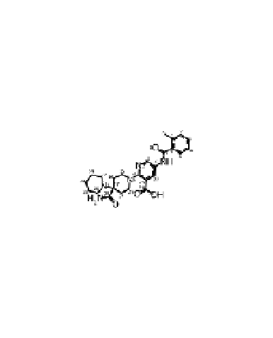 Cc1ccccc1C(=O)Nc1cnc(N2CCC(C(N)=O)(N3CCCCC3)CC2)c(C(=O)O)c1